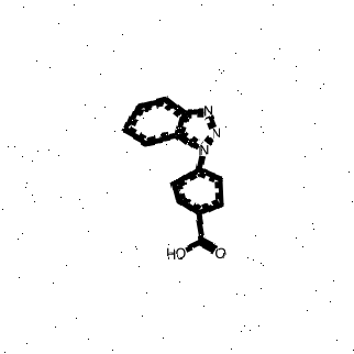 O=C(O)c1ccc(-n2nnc3ccccc32)cc1